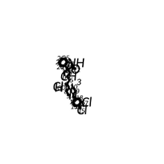 CCC1(CCCCN2CCN(c3ccc(Cl)c(Cl)c3)CC2)C(=O)Nc2ccccc21.[Cl-].[H+]